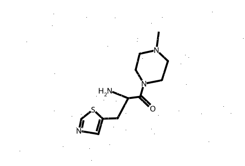 CN1CCN(C(=O)C(N)Cc2cncs2)CC1